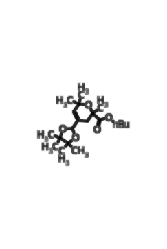 CCCCOC(=O)C1(C)CC(C2OC(C)(C)C(C)(C)O2)=CC(C)(C)O1